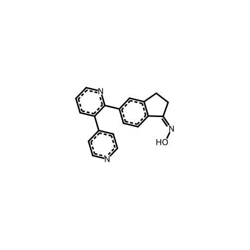 O/N=C1/CCc2cc(-c3ncccc3-c3ccncc3)ccc21